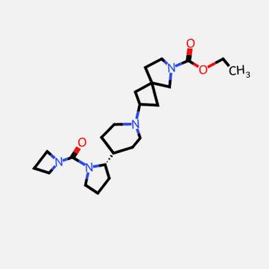 CCOC(=O)N1CCC2(CC(N3CCC([C@@H]4CCCN4C(=O)N4CCC4)CC3)C2)C1